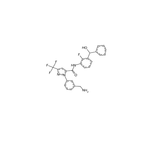 NCc1cccc(-n2nc(C(F)(F)F)cc2C(=O)Nc2cccc(C(O)c3ccccc3)c2F)c1